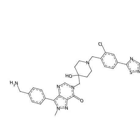 Cn1nc2c(=O)n(CC3(O)CCN(Cc4ccc(-c5ncns5)cc4Cl)CC3)cnc2c1-c1ccc(CN)cc1